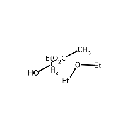 CCOC(C)=O.CCOCC.CO